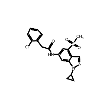 CS(=O)(=O)c1cc(NC(=O)Cc2ccccc2Cl)cc2c1cnn2C1CC1